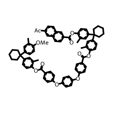 COc1ccc(C2(c3ccc(OC(=O)c4ccc(Oc5ccc(Oc6ccc(C(=O)Oc7ccc(C8(c9ccc(OC(=O)c%10ccc%11cc(C(C)=O)ccc%11c%10)c(C)c9)CCCCC8)cc7C)cc6)cc5)cc4)c(C)c3)CCCCC2)cc1C